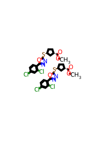 COC(=O)[C@H]1CC[C@@H](Sc2nnc(-c3ccc(Cl)cc3Cl)o2)C1.COC(=O)[C@H]1CC[C@H](Sc2nnc(-c3ccc(Cl)cc3Cl)o2)C1